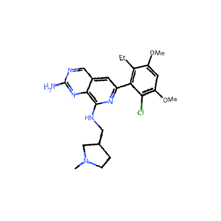 CCc1c(OC)cc(OC)c(Cl)c1-c1cc2cnc(N)nc2c(NCC2CCN(C)C2)n1